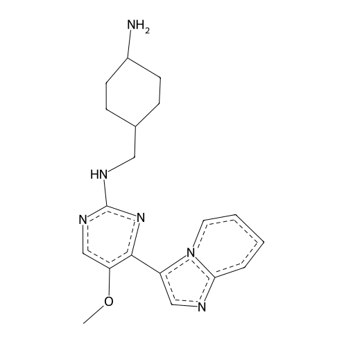 COc1cnc(NCC2CCC(N)CC2)nc1-c1cnc2ccccn12